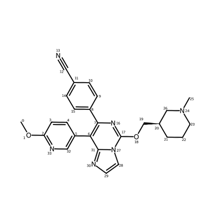 COc1ccc(-c2c(-c3ccc(C#N)cc3)nc(OC[C@@H]3CCCN(C)C3)n3ccnc23)cn1